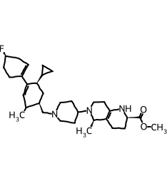 COC(=O)[C@H]1CCC2=C(CCN(C3CCN(C[C@@H]4C[C@H](C5CC5)C(C5=CC[C@H](F)CC5)=CC4C)CC3)[C@@H]2C)N1